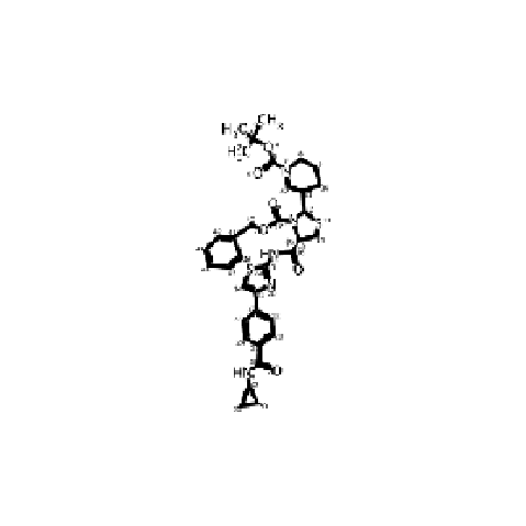 CC(C)(C)OC(=O)N1CCCC(C2SC[C@@H](C(=O)Nc3nc(-c4ccc(C(=O)NC5CC5)cc4)cs3)N2C(=O)OCc2ccccc2)C1